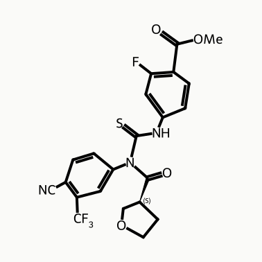 COC(=O)c1ccc(NC(=S)N(C(=O)[C@H]2CCOC2)c2ccc(C#N)c(C(F)(F)F)c2)cc1F